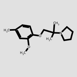 COc1cc(C)ccc1OCC(C)(C)N1CCCC1